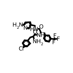 Nc1ccc(CNC(=O)[C@H](Cc2cccc(C(F)(F)F)c2)NC(=O)C(N)Cc2ccc(Cl)cc2)cn1